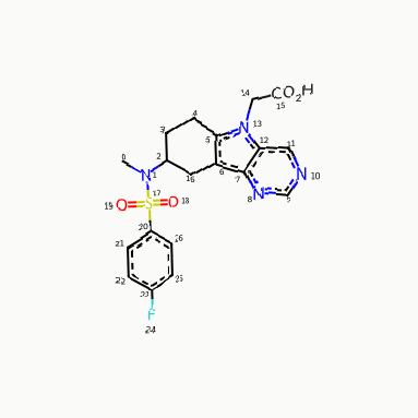 CN(C1CCc2c(c3ncncc3n2CC(=O)O)C1)S(=O)(=O)c1ccc(F)cc1